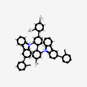 Cc1ccccc1-c1ccc2c(c1)c1ccccc1n2-c1cc(C#N)ccc1-c1ccc(-c2ccc(C(F)(F)F)cc2C#N)cc1-n1c2ccccc2c2cc(-c3ccccc3C)ccc21